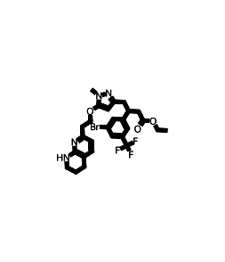 CCOC(=O)CC(Cc1cc(OCCc2ccc3c(n2)NCCC3)n(C)n1)c1cc(Br)cc(C(F)(F)F)c1